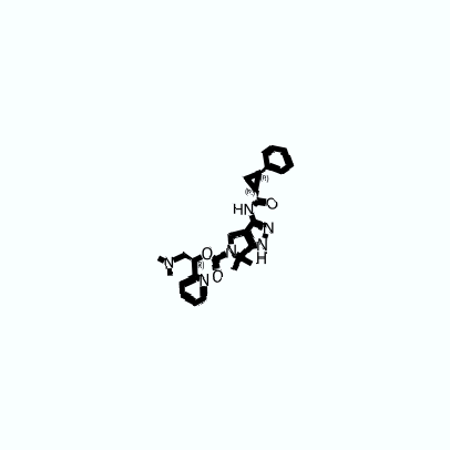 CN(C)C[C@@H](OC(=O)N1Cc2c(NC(=O)[C@@H]3C[C@H]3c3ccccc3)n[nH]c2C1(C)C)c1ccccn1